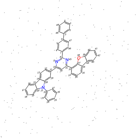 c1ccc(-c2ccc(-c3nc(-c4ccc5c6ccccc6n(-c6ccccc6)c5c4)cc(-c4cccc5c4oc4ccccc45)n3)cc2)cc1